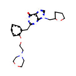 O=c1[nH]c(Cc2ccccc2OCCN2CCOCC2)nc2c1ncn2CC1CCCO1